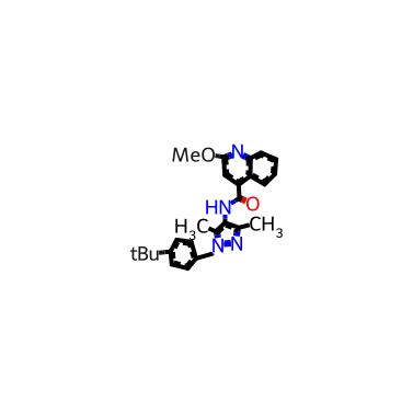 COc1cc(C(=O)Nc2c(C)nn(Cc3ccc(C(C)(C)C)cc3)c2C)c2ccccc2n1